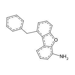 Nc1cccc2c1oc1cccc(Cc3ccccc3)c12